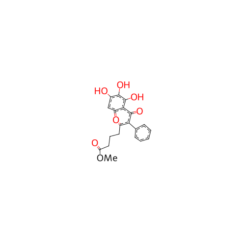 COC(=O)CCCc1oc2cc(O)c(O)c(O)c2c(=O)c1-c1ccccc1